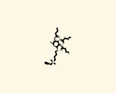 C#CC[N+](C)(C)CCCCOC1O[C@@H](C)[C@@H](OC(=O)CCC)[C@@H](OC(=O)CCC)C1OC(=O)CCC